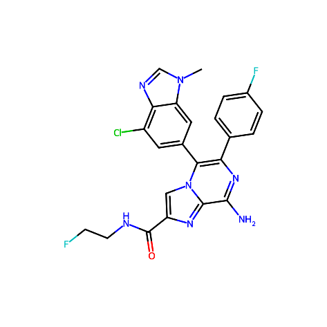 Cn1cnc2c(Cl)cc(-c3c(-c4ccc(F)cc4)nc(N)c4nc(C(=O)NCCF)cn34)cc21